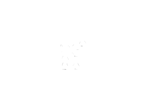 O=C(Cc1ccccc1)N[C@H](Cc1ccc(Cl)cc1)C(=O)N1CCN[C@H](Cc2ccc3ccccc3c2)C1